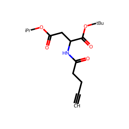 C#CCCC(=O)NC(CC(=O)OC(C)C)C(=O)OC(C)(C)C